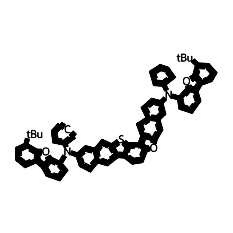 CC(C)(C)c1cccc2c1oc1c(N(c3ccccc3)c3ccc4cc5c(cc4c3)oc3ccc4c6cc7ccc(N(c8ccccc8)c8cccc9c8oc8c(C(C)(C)C)cccc89)cc7cc6sc4c35)cccc12